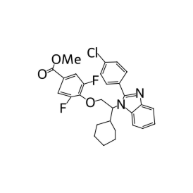 COC(=O)c1cc(F)c(OCC(C2CCCCC2)n2c(-c3ccc(Cl)cc3)nc3ccccc32)c(F)c1